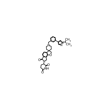 CC(C)n1cc(-c2cccc(CN3CCC4(CC3)COc3c4ccc4c3CN(C3CCC(=O)NC3=O)C4=O)c2)cn1